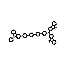 CC1(C)c2ccccc2-c2ccc(N(c3ccc(-c4ccc(-c5ccc(-c6ccc(-c7ccc8c(c7)c7ccccc7n8-c7ccccc7)cc6)cc5)cc4)cc3)c3ccc4c(c3)C(C)(C)c3ccccc3-4)cc21